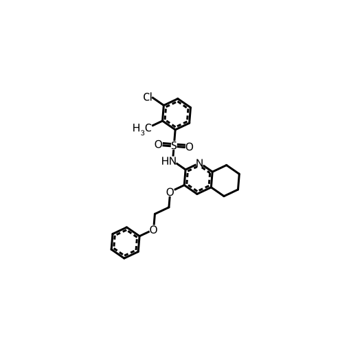 Cc1c(Cl)cccc1S(=O)(=O)Nc1nc2c(cc1OCCOc1ccccc1)CCCC2